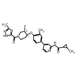 Cc1n[nH]c(C(=O)N2CC[C@H](Oc3ccc(-c4ccnc(NC(=O)C5CC5C)c4)cc3C)[C@H](F)C2)n1